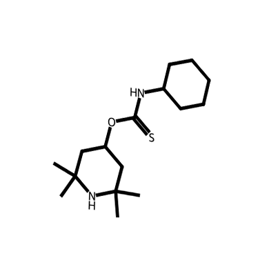 CC1(C)CC(OC(=S)NC2CCCCC2)CC(C)(C)N1